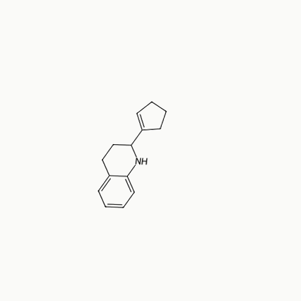 C1=C(C2CCc3ccccc3N2)CCC1